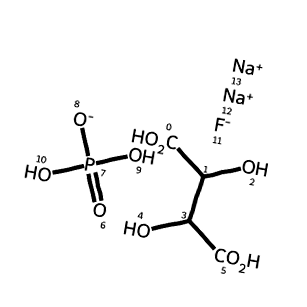 O=C(O)C(O)C(O)C(=O)O.O=P([O-])(O)O.[F-].[Na+].[Na+]